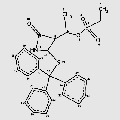 CCS(=O)(=O)OC(C)C1C(=O)NC1SC(c1ccccc1)(c1ccccc1)c1ccccc1